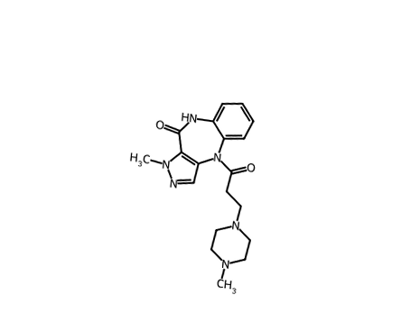 CN1CCN(CCC(=O)N2c3ccccc3NC(=O)c3c2cnn3C)CC1